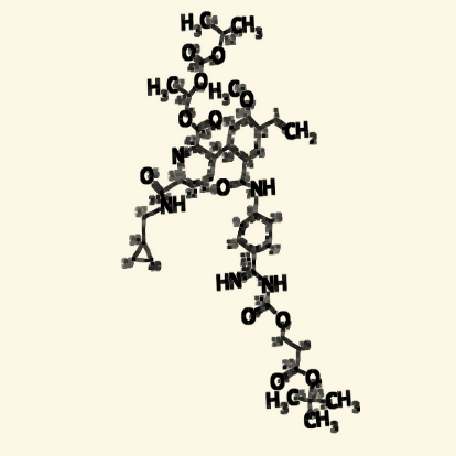 C=Cc1cc(C(=O)Nc2ccc(C(=N)NC(=O)OCCC(=O)OC(C)(C)C)cc2)c(-c2ccc(C(=O)NCC3CC3)nc2C(=O)OC(C)OC(=O)OC(C)C)cc1OC